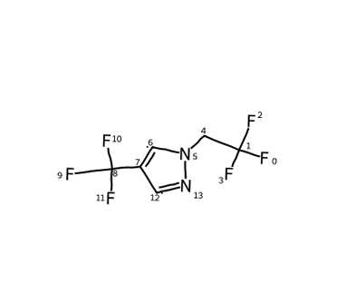 FC(F)(F)Cn1[c]c(C(F)(F)F)[c]n1